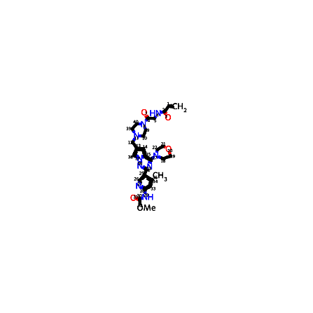 C=CC(=O)NCC(=O)N1CCN(Cc2cc3c(N4CCOCC4)nc(-c4cnc(NC(=O)OC)cc4C)nn3c2)CC1